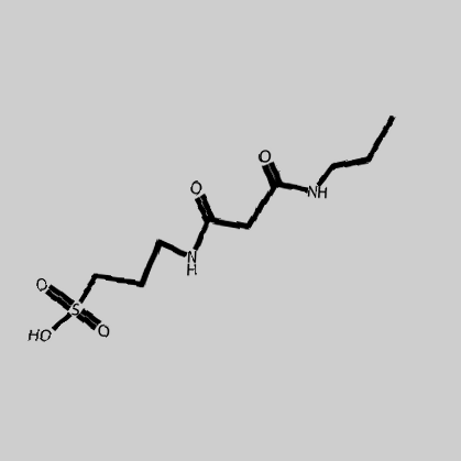 CCCNC(=O)CC(=O)NCCCS(=O)(=O)O